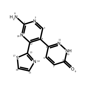 Nc1ncc(-c2ccc(=O)[nH]n2)c(-c2nccs2)n1